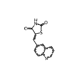 O=C1NC(=O)C(=Cc2ccc3ncccc3c2)S1